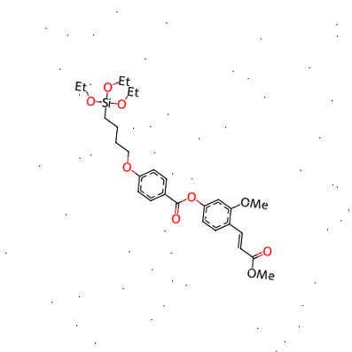 CCO[Si](CCCCOc1ccc(C(=O)Oc2ccc(C=CC(=O)OC)c(OC)c2)cc1)(OCC)OCC